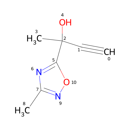 C#CC(C)(O)c1nc(C)no1